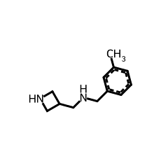 Cc1cccc(CNCC2CNC2)c1